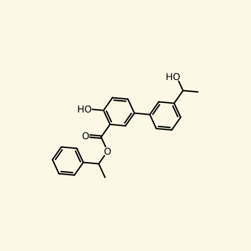 CC(O)c1cccc(-c2ccc(O)c(C(=O)OC(C)c3ccccc3)c2)c1